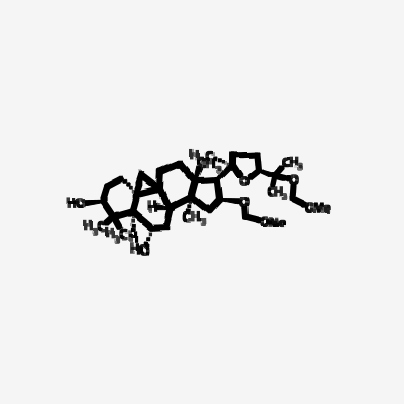 COCO[C@H]1C[C@@]2(C)[C@@H]3C[C@H](O)[C@H]4C(C)(C)[C@@H](O)CC[C@@]45CC35CC[C@]2(C)[C@H]1[C@@]1(C)CC[C@@H](C(C)(C)OCOC)O1